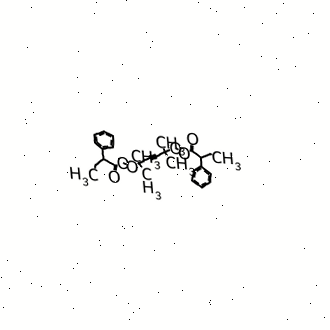 CCC(C(=O)OOC(C)(C)C#CC(C)(C)OOC(=O)C(CC)c1ccccc1)c1ccccc1